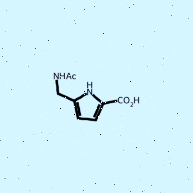 CC(=O)NCc1ccc(C(=O)O)[nH]1